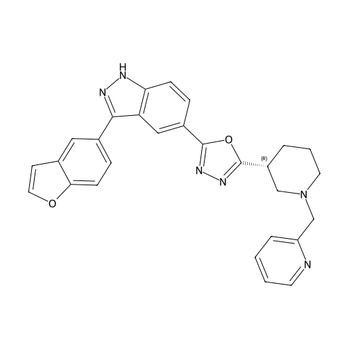 c1ccc(CN2CCC[C@@H](c3nnc(-c4ccc5[nH]nc(-c6ccc7occc7c6)c5c4)o3)C2)nc1